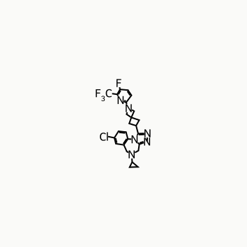 Fc1ccc(N2CC3(CC(c4nnc5n4-c4ccc(Cl)cc4CN(C4CC4)C5)C3)C2)nc1C(F)(F)F